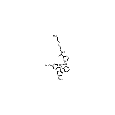 COc1ccc(C(NNN2C=CC=C(C(=O)NCCCCCCO)C2)(c2ccccc2)c2ccc(OC)cc2)cc1